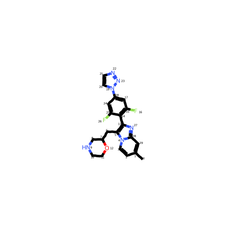 Cc1ccn2c(CC3CNCCO3)c(-c3c(F)cc(-n4ccnn4)cc3F)nc2c1